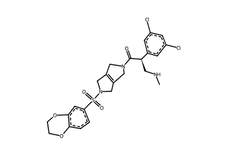 CNC[C@@H](C(=O)N1CC2=C(C1)CN(S(=O)(=O)c1ccc3c(c1)OCCO3)C2)c1cc(Cl)cc(Cl)c1